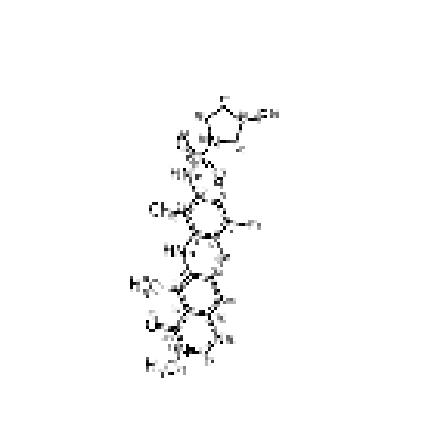 Cc1c(Nc2c(F)c(F)cc(NS(=O)(=O)N3CC[C@@H](F)C3)c2Cl)ccc2ncn(C)c(=O)c12